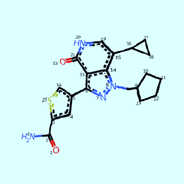 NC(=O)c1cc(-c2nn(C3CCCC3)c3c(C4CC4)c[nH]c(=O)c23)cs1